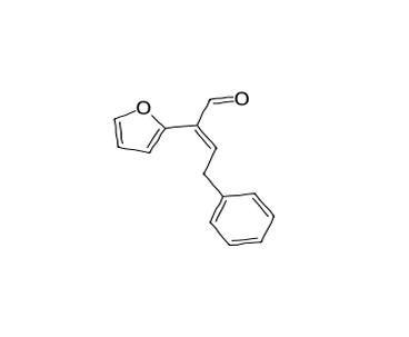 O=C/C(=C/Cc1ccccc1)c1ccco1